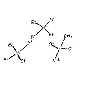 CC[N+](CC)(CC)CC.CC[N+](CC)(CC)CC.C[Si](C)([O-])[O-]